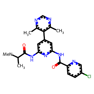 CNC(C)C(=O)Nc1cc(-c2c(C)ncnc2C)cc(NC(=O)c2ccc(Cl)cn2)n1